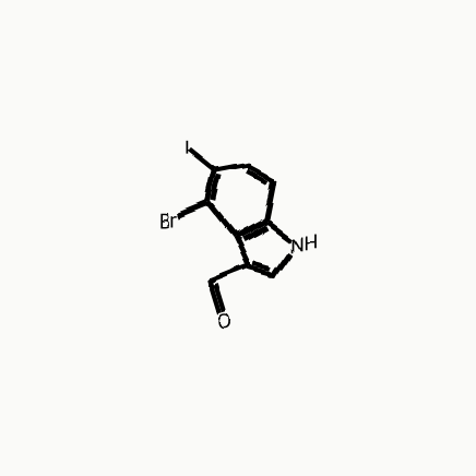 O=Cc1c[nH]c2ccc(I)c(Br)c12